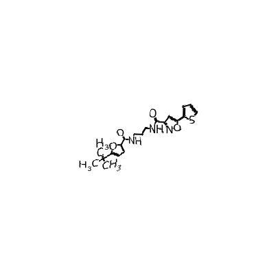 CC(C)(C)c1ccc(C(=O)NCCCNC(=O)c2cc(-c3cccs3)on2)o1